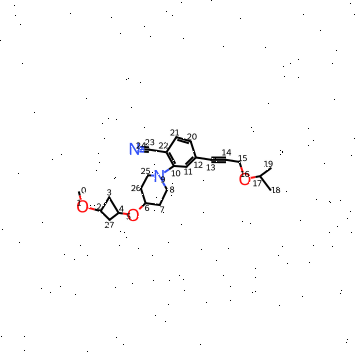 COC1CC(OC2CCN(c3cc(C#CCOC(C)C)ccc3C#N)CC2)C1